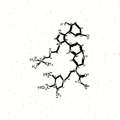 CC1CN(CCN(C(=O)OC(C)(C)C)c2cnc3ccc(-c4c(-c5cc(Cl)ccc5F)ncn4COCC[Si](C)(C)C)nc3c2)C[C@@H](C)N1C(=O)O